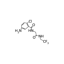 Nc1ccc(Cl)c(C(=O)NCC(=O)NCC(F)(F)F)c1